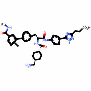 Cc1ccc(C(=O)NC(C)C)cc1-c1ccc(C[C@H](NC(=O)[C@H]2CC[C@H](CN)CC2)C(=O)Nc2ccc(-c3nc(CCC(=O)O)n[nH]3)cc2)cc1